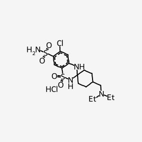 CCN(CC)CC1CCC2(CC1)Nc1cc(Cl)c(S(N)(=O)=O)cc1S(=O)(=O)N2.Cl